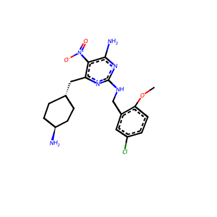 COc1ccc(Cl)cc1CNc1nc(N)c([N+](=O)[O-])c(C[C@H]2CC[C@H](N)CC2)n1